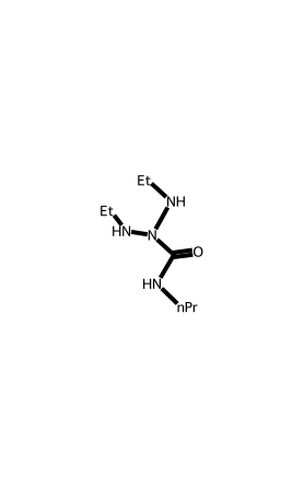 CCCNC(=O)N(NCC)NCC